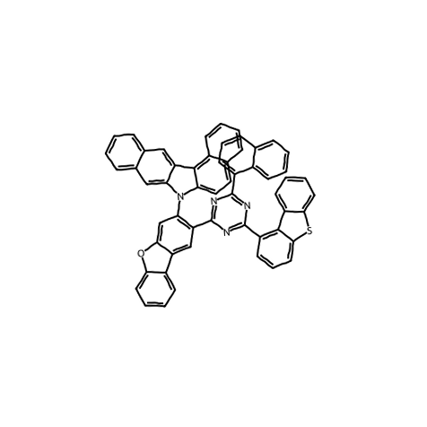 c1ccc2cc3c(cc2c1)c1c2ccccc2ccc1n3-c1cc2oc3ccccc3c2cc1-c1nc(-c2cccc3ccccc23)nc(-c2cccc3sc4ccccc4c23)n1